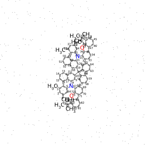 Cc1cc(C)cc(N(c2cc3c(c4ccccc24)-c2c(cc(N(c4cc(C)cc(C)c4)c4cccc5c4oc4c(C(C)(C)C)cccc45)c4ccccc24)C3(c2ccccc2)c2ccccc2)c2cccc3c2oc2c(C(C)(C)C)cccc23)c1